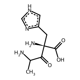 CC(N)C(=O)[C@](N)(Cc1c[nH]cn1)C(=O)O